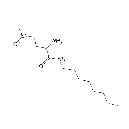 CCCCCCCCNC(=O)C(N)CC[S+](C)[O-]